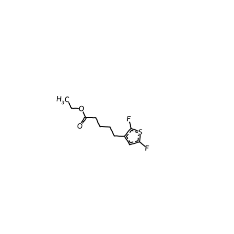 CCOC(=O)CCCCc1cc(F)sc1F